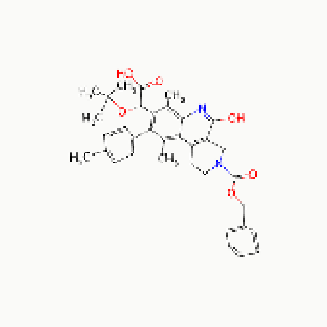 Cc1ccc(-c2c([C@H](OC(C)(C)C)C(=O)O)c(C)c3nc(O)c4c(c3c2C)CCN(C(=O)OCc2ccccc2)C4)cc1